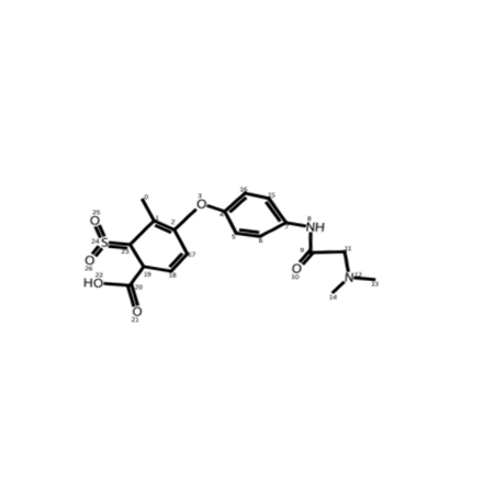 CC1=C(Oc2ccc(NC(=O)CN(C)C)cc2)C=CC(C(=O)O)C1=S(=O)=O